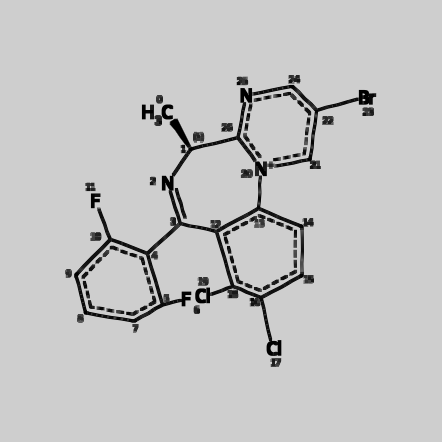 C[C@@H]1N=C(c2c(F)cccc2F)c2c(ccc(Cl)c2Cl)-[n+]2cc(Br)cnc21